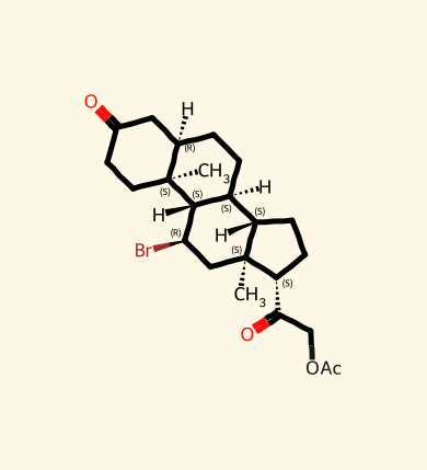 CC(=O)OCC(=O)[C@H]1CC[C@H]2[C@@H]3CC[C@@H]4CC(=O)CC[C@]4(C)[C@H]3[C@H](Br)C[C@]12C